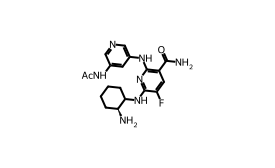 CC(=O)Nc1cncc(Nc2nc(NC3CCCC[C@@H]3N)c(F)cc2C(N)=O)c1